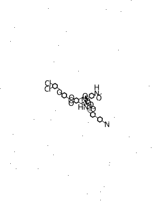 COC(=O)[C@H](Cc1ccc(-c2ccc(C#N)cc2)cc1)NC(=O)[C@@H]1Cc2cc3c(cc2CN1S(=O)(=O)c1ccc(NC(C)=O)cc1)OC(c1ccc(OCc2ccc(Cl)c(Cl)c2)cc1)CO3